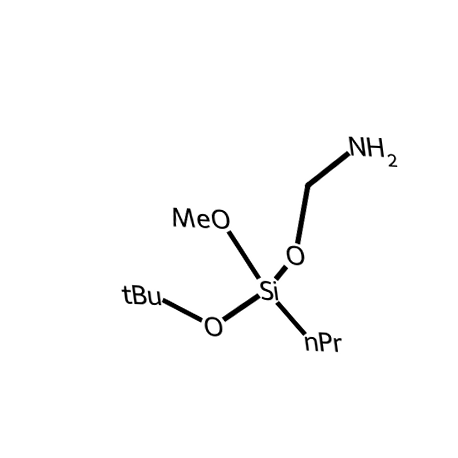 CCC[Si](OC)(OCN)OC(C)(C)C